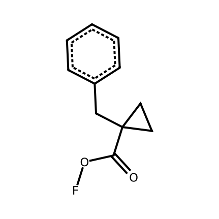 O=C(OF)C1(Cc2ccccc2)CC1